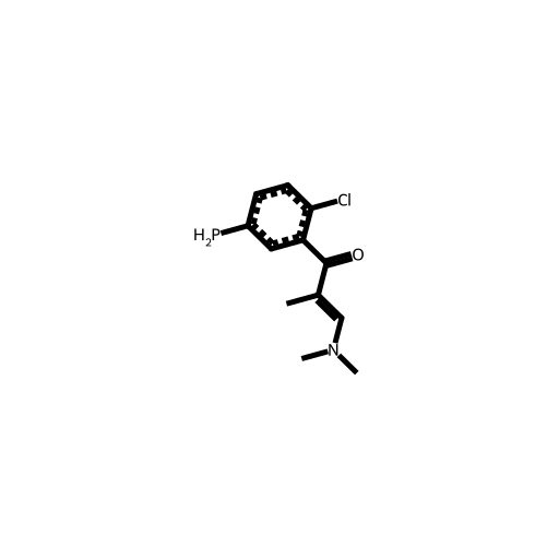 C/C(=C\N(C)C)C(=O)c1cc(P)ccc1Cl